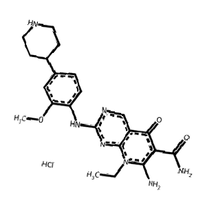 CCn1c(N)c(C(N)=O)c(=O)c2cnc(Nc3ccc(C4CCNCC4)cc3OC)nc21.Cl